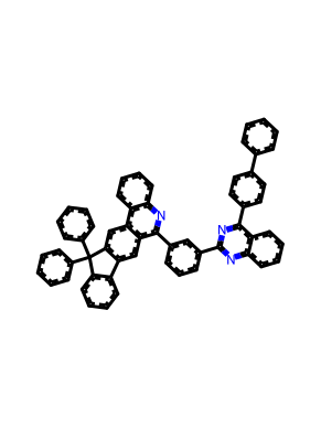 c1ccc(-c2ccc(-c3nc(-c4cccc(-c5nc6ccccc6c6cc7c(cc56)-c5ccccc5C7(c5ccccc5)c5ccccc5)c4)nc4ccccc34)cc2)cc1